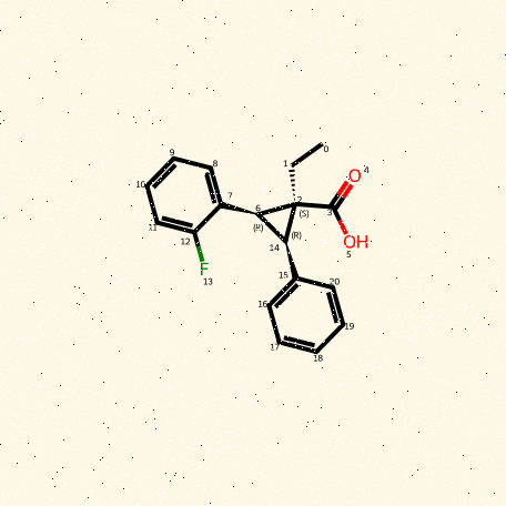 CC[C@@]1(C(=O)O)[C@H](c2ccccc2F)[C@@H]1c1ccccc1